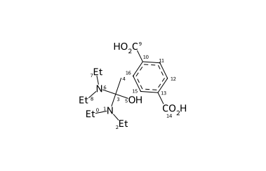 CCN(CC)C(C)(O)N(CC)CC.O=C(O)c1ccc(C(=O)O)cc1